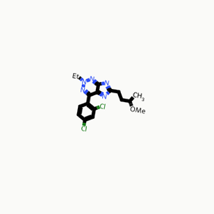 CCn1nc2nc(CCC(C)OC)nc-2c(-c2ccc(Cl)cc2Cl)n1